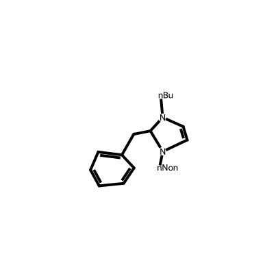 CCCCCCCCCN1C=CN(CCCC)C1Cc1ccccc1